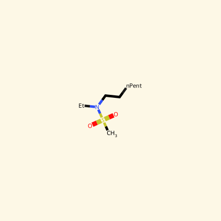 CCCCCCCN(CC)S(C)(=O)=O